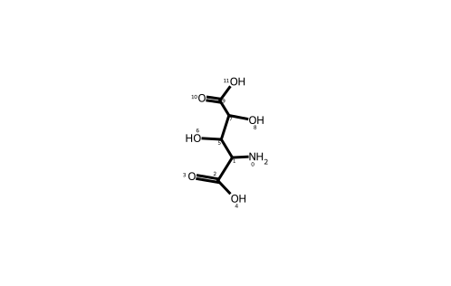 NC(C(=O)O)C(O)C(O)C(=O)O